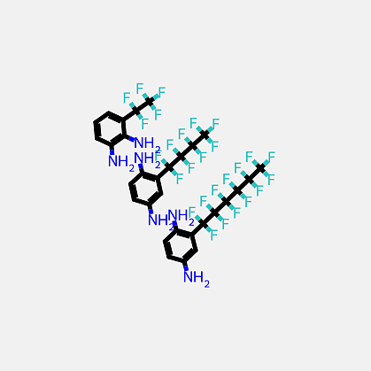 Nc1ccc(N)c(C(F)(F)C(F)(F)C(F)(F)C(F)(F)C(F)(F)C(F)(F)F)c1.Nc1ccc(N)c(C(F)(F)C(F)(F)C(F)(F)C(F)(F)F)c1.Nc1cccc(C(F)(F)C(F)(F)F)c1N